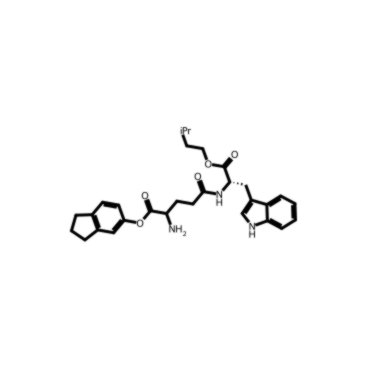 CC(C)CCOC(=O)[C@H](Cc1c[nH]c2ccccc12)NC(=O)CCC(N)C(=O)Oc1ccc2c(c1)CCC2